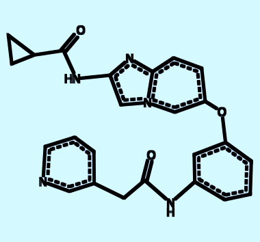 O=C(Cc1cccnc1)Nc1cccc(Oc2ccc3nc(NC(=O)C4CC4)cn3c2)c1